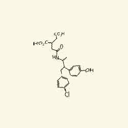 CC(NC(=O)CC(CC(=O)O)C(=O)O)C(Cc1ccc(Cl)cc1)c1ccc(O)cc1